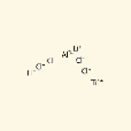 [Al+3].[Cl-].[Cl-].[Cl-].[Cl-].[H-].[Li+].[Ti+4]